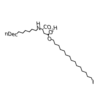 CCCCCCCCCCCCCCCCN[C@@H](CC(=O)OCCCCCCCCCCCCCCCC(C)C)C(=O)O